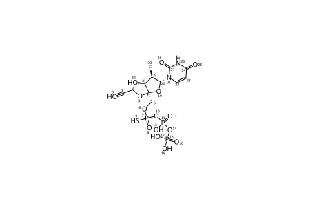 C#CCO[C@]1(COP(=O)(S)OP(=O)(O)OP(=O)(O)O)O[C@@H](n2ccc(=O)[nH]c2=O)[C@H](F)[C@@H]1O